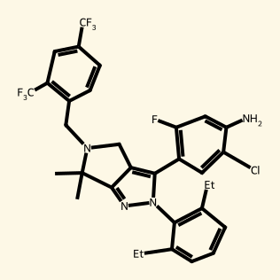 CCc1cccc(CC)c1-n1nc2c(c1-c1cc(Cl)c(N)cc1F)CN(Cc1ccc(C(F)(F)F)cc1C(F)(F)F)C2(C)C